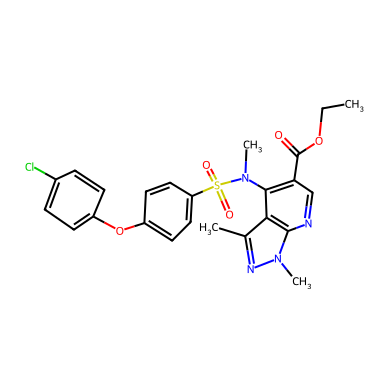 CCOC(=O)c1cnc2c(c(C)nn2C)c1N(C)S(=O)(=O)c1ccc(Oc2ccc(Cl)cc2)cc1